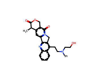 CC1C(=O)OCc2c1cc1n(c2=O)Cc2c-1nc1ccccc1c2CCN(CCO)C(C)C